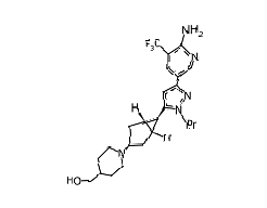 CC(C)n1nc(-c2cnc(N)c(C(F)(F)F)c2)cc1[C@H]1[C@@H]2C[C@@H](N3CCC(CO)CC3)C[C@@H]21